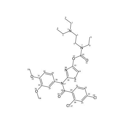 CCN(CC)CCN(CC)C(=O)Oc1csc(N(C(=O)c2ccc(Cl)cc2Cl)c2ccc(OC)c(OC)c2)n1